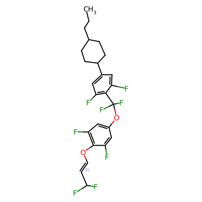 CCCC1CCC(c2cc(F)c(C(F)(F)Oc3cc(F)c(O/C=C/C(F)F)c(F)c3)c(F)c2)CC1